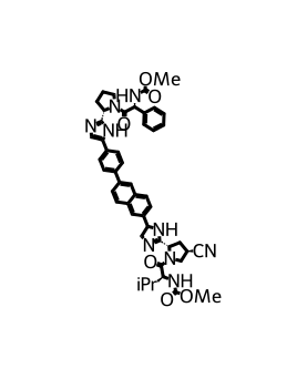 COC(=O)N[C@H](C(=O)N1C[C@H](C#N)C[C@H]1C1=NCC(c2ccc3cc(-c4ccc(-c5cnc([C@@H]6CCCN6C(=O)[C@H](NC(=O)OC)c6ccccc6)[nH]5)cc4)ccc3c2)N1)C(C)C